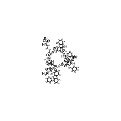 C[C@@H](O)[C@@H]1NC(=O)[C@H](CCCCNC(=O)OC(C)(C)C)NC(=O)[C@@H](Cc2c[nH]c3ccccc23)NC(=O)[C@H](Cc2ccc(O)cc2)NC(=O)[C@@H](NC(=O)[C@@H](Cc2ccccc2)NC(=O)OC(C)(C)C)CSSC[C@@H](C(=O)N[C@@H](CSC(c2ccccc2)(c2ccccc2)c2ccccc2)C(N)=O)NC1=O